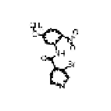 COc1ccc([N+](=O)[O-])c(NC(=O)c2ccncc2Br)c1